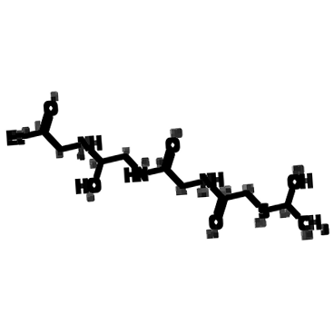 CCC(=O)CNC(O)CNC(=O)CNC(=O)CSC(C)O